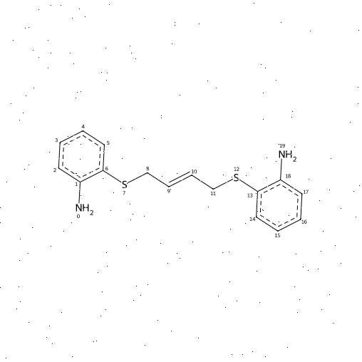 Nc1ccccc1SCC=CCSc1ccccc1N